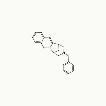 c1ccc(CN2CC3CC(C2)c2nc4ccccc4cc23)cc1